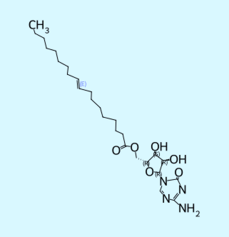 CCCCCCCC/C=C/CCCCCCCC(=O)OC[C@H]1O[C@@H](n2cnc(N)nc2=O)[C@H](O)[C@@H]1O